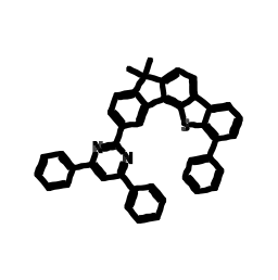 CC1(C)c2ccc(-c3nc(-c4ccccc4)cc(-c4ccccc4)n3)cc2-c2c1ccc1c2sc2c(-c3ccccc3)cccc21